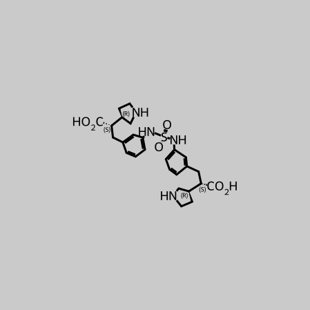 O=C(O)[C@@H](Cc1cccc(NS(=O)(=O)Nc2cccc(C[C@H](C(=O)O)[C@H]3CCNC3)c2)c1)[C@H]1CCNC1